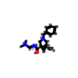 CN(C)/C=N/C(=O)[C@]12CN(Cc3ccccc3)C[C@@]1(C(F)(F)F)C2